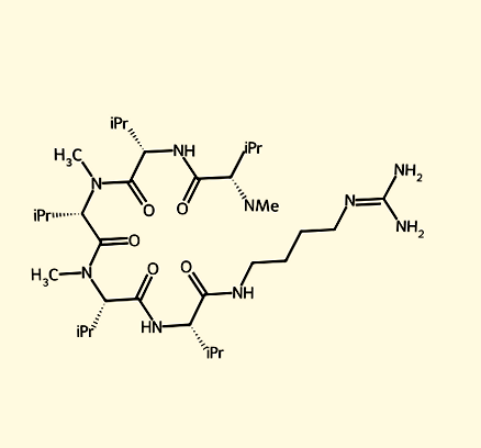 CN[C@H](C(=O)N[C@H](C(=O)N(C)[C@H](C(=O)N(C)[C@H](C(=O)N[C@H](C(=O)NCCCCN=C(N)N)C(C)C)C(C)C)C(C)C)C(C)C)C(C)C